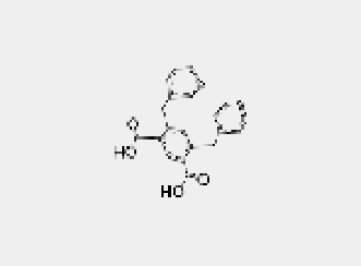 O=C(O)c1cc(C(=O)O)c(Cc2ccccc2)cc1Cc1ccccc1